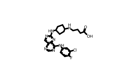 O=C(O)CCCNC1CCC(Nc2ncc3ncnc(Nc4ccc(F)c(Cl)c4)c3n2)CC1